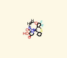 O=C1c2c(O)c(=O)ccn2N2CN1C[C@H]1C[C@@H]1COc1cc(F)c(F)c3c1[C@@H]2Cc1ccccc1SC3